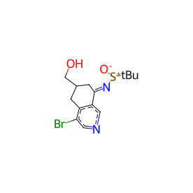 CC(C)(C)[S+]([O-])N=C1CC(CO)Cc2c(Br)cncc21